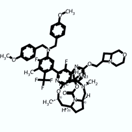 C=[N+]1C[C@H]2CC[C@@H](C[C@H](C)Oc3nc(-c4cc(N(Cc5ccc(OC)cc5)Cc5ccc(OC)cc5)c(F)c(C)c4C(F)(F)F)c(F)c4nc(OCC5CC6COCCN65)nc1c34)N2C(=O)OC(C)(C)C